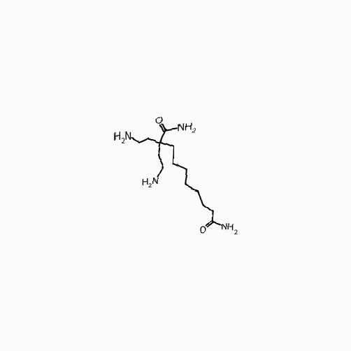 NCCC(CCN)(CCCCCCCC(N)=O)C(N)=O